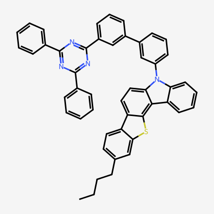 CCCCc1ccc2c(c1)sc1c2ccc2c1c1ccccc1n2-c1cccc(-c2cccc(-c3nc(-c4ccccc4)nc(-c4ccccc4)n3)c2)c1